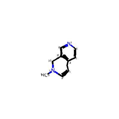 N#CN1C=Cc2ccncc2C1